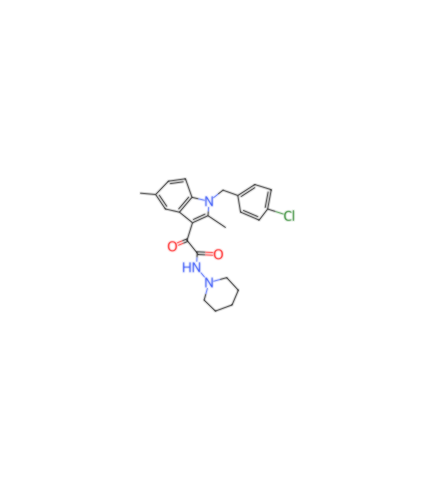 Cc1ccc2c(c1)c(C(=O)C(=O)NN1CCCCC1)c(C)n2Cc1ccc(Cl)cc1